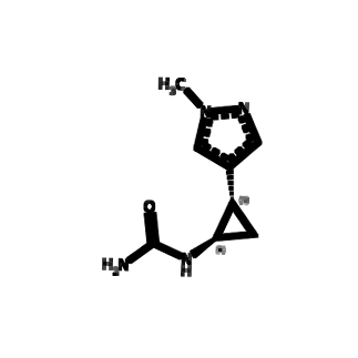 Cn1cc([C@@H]2C[C@H]2NC(N)=O)cn1